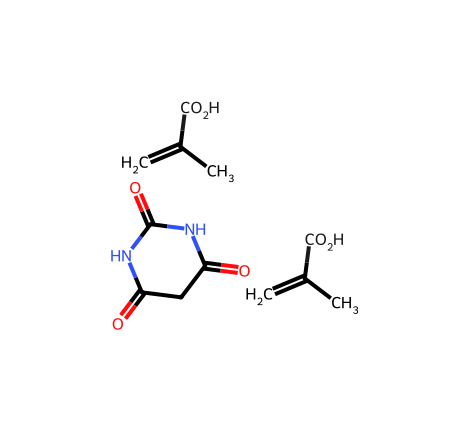 C=C(C)C(=O)O.C=C(C)C(=O)O.O=C1CC(=O)NC(=O)N1